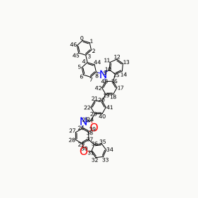 c1ccc(-c2cccc(-n3c4ccccc4c4ccc(-c5ccc(-c6nc7ccc8oc9ccccc9c8c7o6)cc5)cc43)c2)cc1